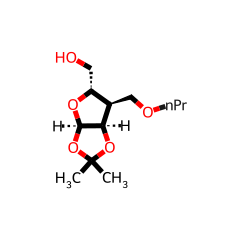 CCCOC[C@H]1[C@H]2OC(C)(C)O[C@H]2O[C@@H]1CO